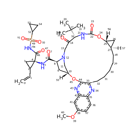 C=CC1C[C@]1(NC(=O)[C@@H]1C[C@@H]2CN1CC(=O)[C@H](C(C)(C)C)NC(=O)O[C@@H]1C[C@H]1CCCCCc1nc3ccc(OC)cc3nc1O2)C(=O)NS(=O)(=O)C1CC1